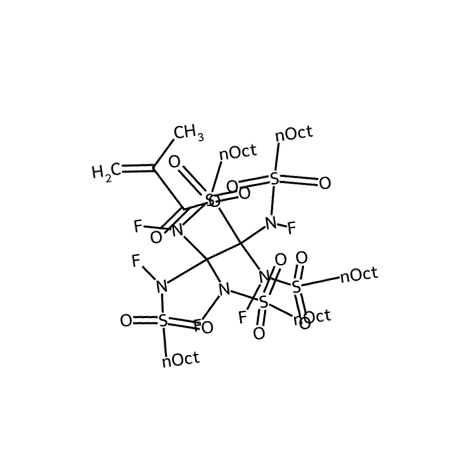 C=C(C)C(=O)OC(N(F)S(=O)(=O)CCCCCCCC)(N(F)S(=O)(=O)CCCCCCCC)C(N(F)S(=O)(=O)CCCCCCCC)(N(F)S(=O)(=O)CCCCCCCC)N(F)S(=O)(=O)CCCCCCCC